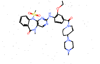 CCOc1cc(C(=O)N2CCC(N3CCN(C)CC3)CC2)ccc1Nc1ncc2c(n1)N(S(C)(=O)=O)c1ccccc1C(=O)N2C